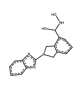 ONC(O)c1cccc2c1CN(c1nc3ccccc3s1)C2